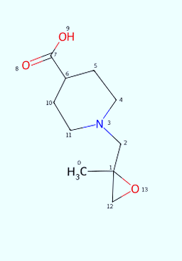 CC1(CN2CCC(C(=O)O)CC2)CO1